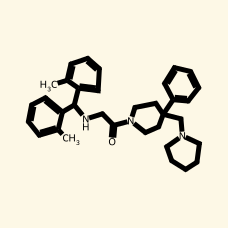 Cc1ccccc1C(NCC(=O)N1CCC(CN2CCCCC2)(c2ccccc2)CC1)c1ccccc1C